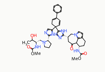 COC(=O)N[C@@H](CN1CCC[C@H]1c1ncc(C2(c3cnc([C@H]4CC(=O)C5c6c(ccn6C4)CC[C@@H]5NC(=O)OC)[nH]3)C=CC(c3ccccc3)=CC2)[nH]1)C(C)O